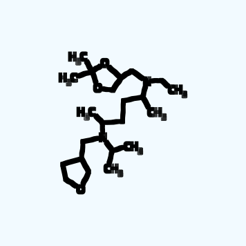 CCN(CC1COC(C)(C)O1)C(C)CCC(C)N(CC1CCOC1)C(C)C